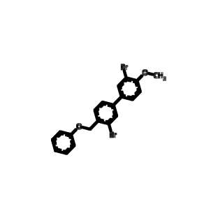 COc1ccc(-c2ccc(COc3ccccc3)c(Br)c2)cc1Br